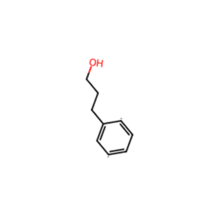 OCCCc1[c]cc[c]c1